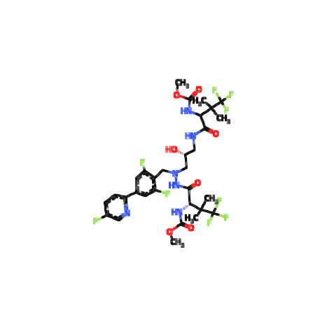 COC(=O)NC(C(=O)NC[C@@H](O)CN(Cc1c(F)cc(-c2ccc(F)cn2)cc1F)NC(=O)[C@@H](NC(=O)OC)C(C)(C)C(F)(F)F)C(C)(C)C(F)(F)F